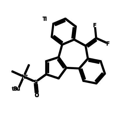 CC(C)(C)[N+](C)(C)[Si](=O)C1=CC2=C(C1)c1ccccc1C(=C(F)F)c1ccccc12.[Ti]